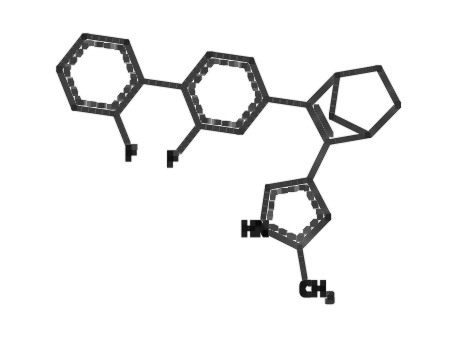 Cc1cc(C2=C(c3ccc(-c4ccccc4F)c(F)c3)C3CCC2C3)c[nH]1